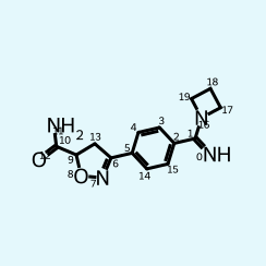 N=C(c1ccc(C2=NOC(C(N)=O)C2)cc1)N1CCC1